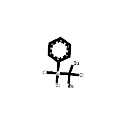 CCC(C)C(Cl)(C(C)CC)[Si](Cl)(CC)c1ccccc1